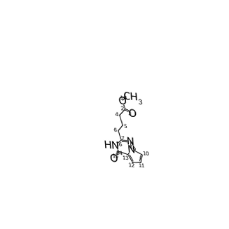 COC(=O)CCCc1nn2cccc2c(=O)[nH]1